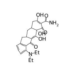 CCN(CC)c1cccc2c1C(=O)C1=C(O)[C@]3(O)C(=O)C(C(N)=O)=C(O)CC3CC1C2